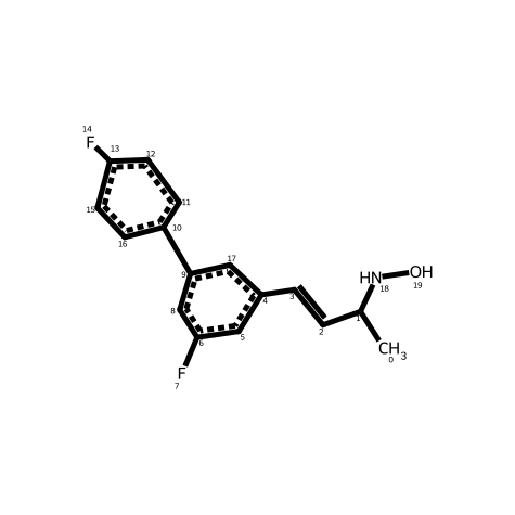 CC(/C=C/c1cc(F)cc(-c2ccc(F)cc2)c1)NO